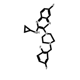 Fc1ccc(F)c(CN2CCN(c3nc4cc(F)ccc4nc3NC3CC3)CC2)c1